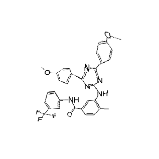 COc1ccc(-c2nc(Nc3cc(C(=O)Nc4cccc(C(F)(F)F)c4)ccc3C)nc(-c3ccc(OC)cc3)n2)cc1